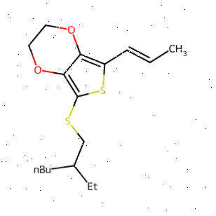 C/C=C/c1sc(SCC(CC)CCCC)c2c1OCCO2